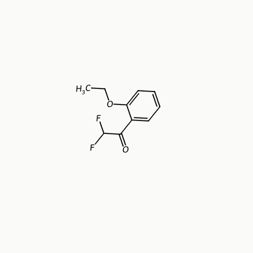 CCOc1ccccc1C(=O)C(F)F